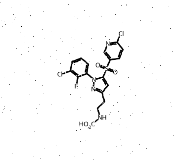 O=C(O)NCCc1cc(S(=O)(=O)c2ccc(Cl)nc2)n(-c2cccc(Cl)c2F)n1